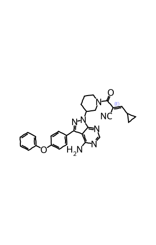 N#C/C(=C\C1CC1)C(=O)N1CCCC(n2nc(-c3ccc(Oc4ccccc4)cc3)c3c(N)ncnc32)C1